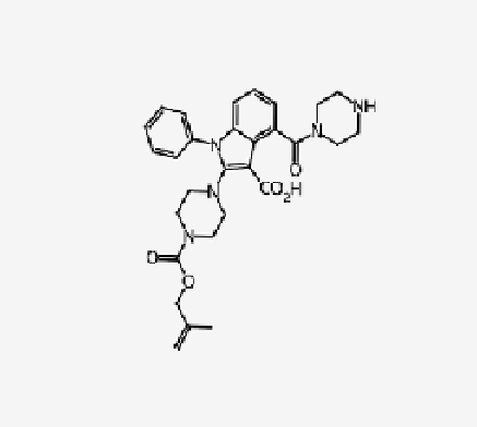 C=C(C)COC(=O)N1CCN(c2c(C(=O)O)c3c(C(=O)N4CCNCC4)cccc3n2-c2ccccc2)CC1